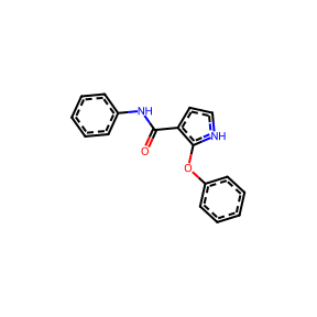 O=C(Nc1ccccc1)c1cc[nH]c1Oc1ccccc1